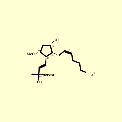 CCCCC[C@](C)(O)/C=C/[C@@H]1[C@@H](C/C=C\CCCC(=O)O)[C@@H](O)C[C@H]1OC